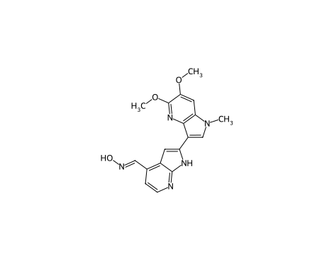 COc1cc2c(nc1OC)c(-c1cc3c(C=NO)ccnc3[nH]1)cn2C